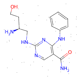 NC(=O)c1cnc(NC[C@@H](N)CCO)nc1Nc1ccccc1